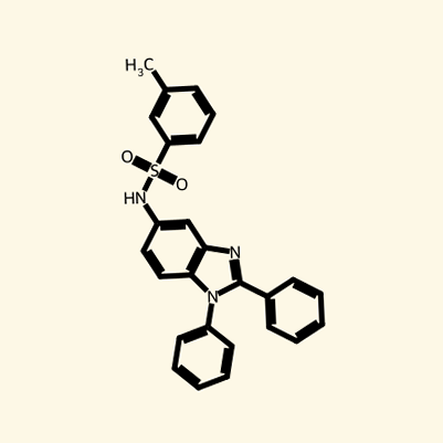 Cc1cccc(S(=O)(=O)Nc2ccc3c(c2)nc(-c2ccccc2)n3-c2ccccc2)c1